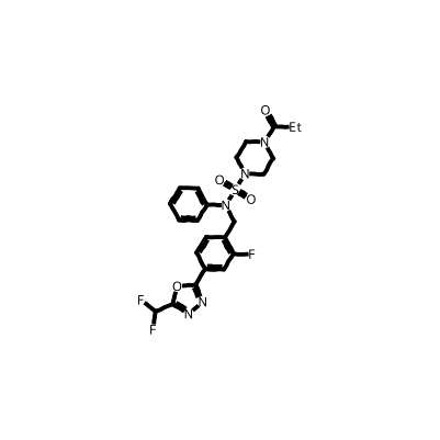 CCC(=O)N1CCN(S(=O)(=O)N(Cc2ccc(-c3nnc(C(F)F)o3)cc2F)c2ccccc2)CC1